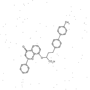 Cc1ccc(-c2ccc(CCC(Oc3cccc4c(=O)cc(-c5ccccc5)oc34)C(=O)O)cc2)cc1